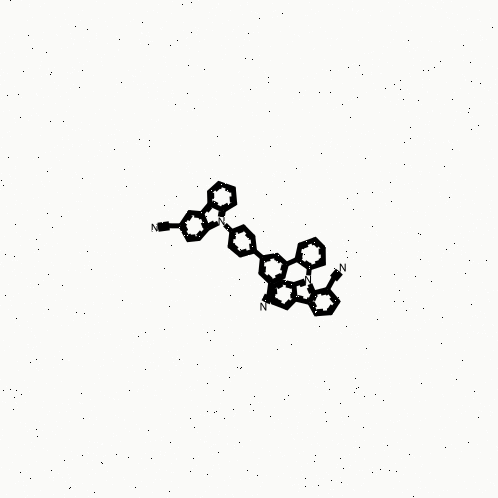 N#Cc1cc(-c2ccc(-n3c4ccccc4c4cc(C#N)ccc43)cc2)cc(-c2ccccc2-n2c3ccccc3c3cccc(C#N)c32)c1